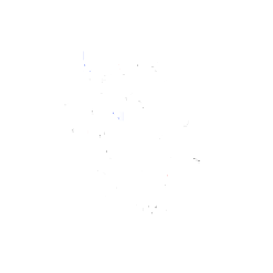 COc1ccc(C(=O)N[C@]2(c3ccccc3)CCCNC2=O)cc1OC1CCCC1